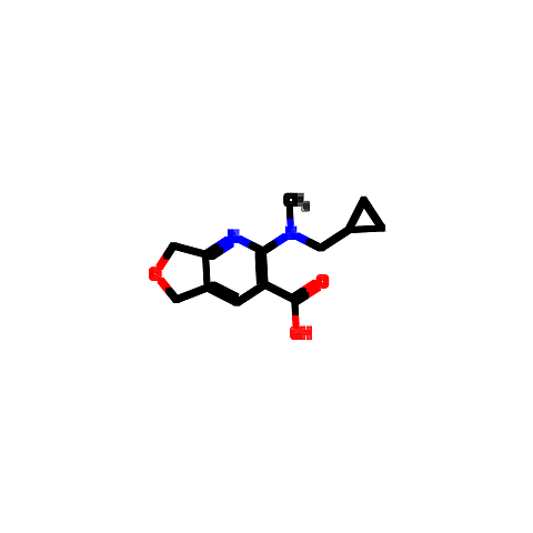 CN(CC1CC1)c1nc2c(cc1C(=O)O)COC2